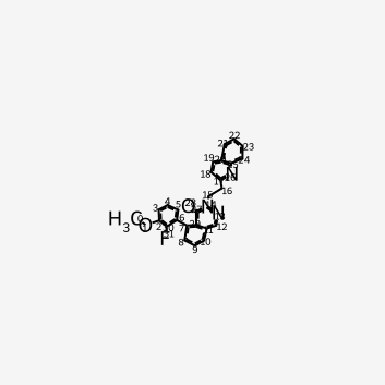 COc1cccc(-c2cccc3cnn(CCc4ccc5ccccc5n4)c(=O)c23)c1F